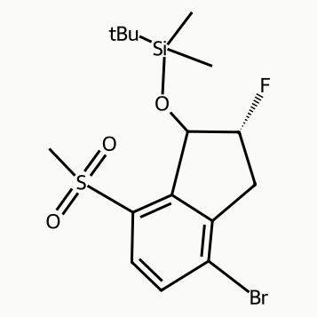 CC(C)(C)[Si](C)(C)OC1c2c(S(C)(=O)=O)ccc(Br)c2C[C@H]1F